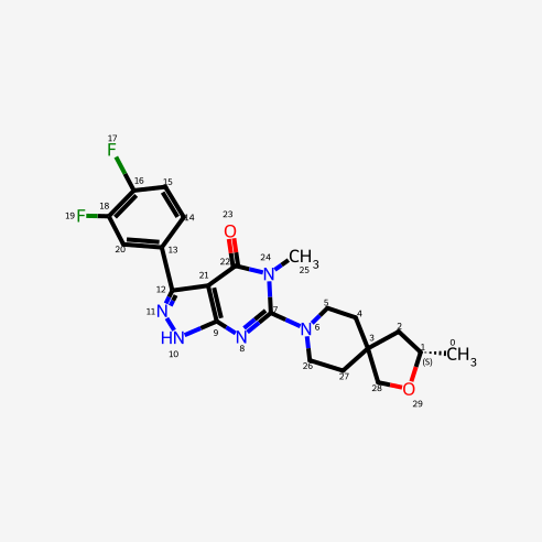 C[C@H]1CC2(CCN(c3nc4[nH]nc(-c5ccc(F)c(F)c5)c4c(=O)n3C)CC2)CO1